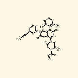 C=CC(=O)N1C[C@H](C)N(c2nc(=O)n(-c3c(C)ccnc3C(C)C)c3nc(-c4cccc(C#CC)c4)c(Cl)cc23)C[C@H]1C